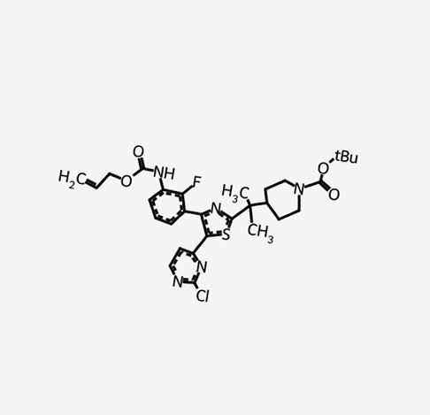 C=CCOC(=O)Nc1cccc(-c2nc(C(C)(C)C3CCN(C(=O)OC(C)(C)C)CC3)sc2-c2ccnc(Cl)n2)c1F